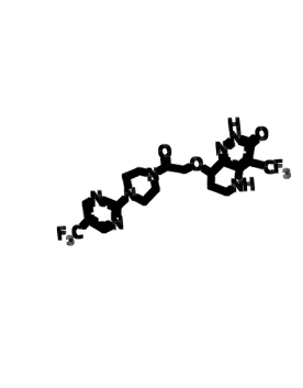 O=C(COC1CCNc2c1n[nH]c(=O)c2C(F)(F)F)N1CCN(c2ncc(C(F)(F)F)cn2)CC1